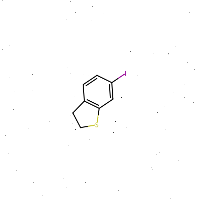 Ic1ccc2c(c1)SCC2